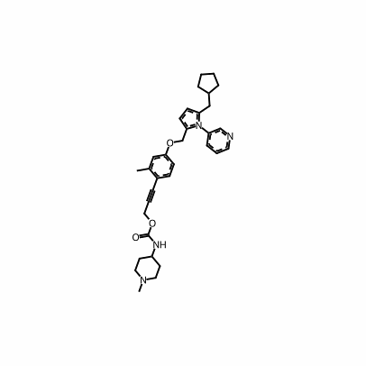 Cc1cc(OCc2ccc(CC3CCCC3)n2-c2cccnc2)ccc1C#CCOC(=O)NC1CCN(C)CC1